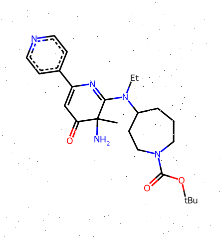 CCN(C1=NC(c2ccncc2)=CC(=O)C1(C)N)C1CCCN(C(=O)OC(C)(C)C)CC1